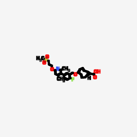 Cc1cc(OCCCS(C)(=O)=O)nc(C)c1-c1ccc(F)c(COC2=C/C=C/C3=C(C(=O)O)[C@@H]3C\C=C\2)c1